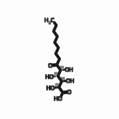 CCCCCCCCC(=O)[C@H](O)[C@@H](O)[C@@H](O)[C@H](O)C(=O)O